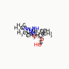 CCN(CC)c1nn2c(=N)n(CC(=O)c3cc(OCCO)cc(C(C)(C)C)c3)nc2c(C)c1C